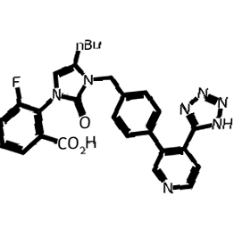 CCCCc1cn(-c2c(F)cccc2C(=O)O)c(=O)n1Cc1ccc(-c2cnccc2-c2nnn[nH]2)cc1